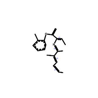 C=C(Oc1ccccc1C)C(=C/C)/N=C(C)/C(C)=C/C=C\C